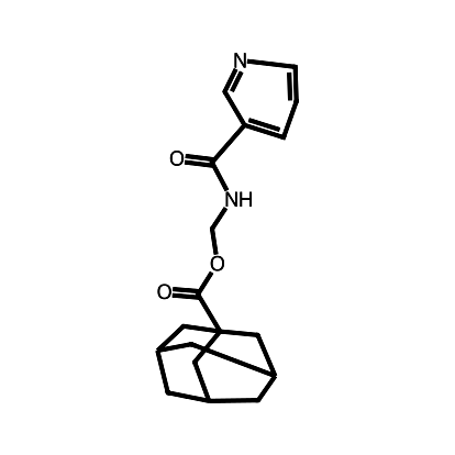 O=C(NCOC(=O)C12CC3CC(CC(C3)C1)C2)c1cccnc1